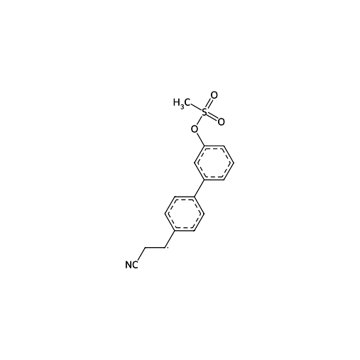 CS(=O)(=O)Oc1cccc(-c2ccc([CH]CC#N)cc2)c1